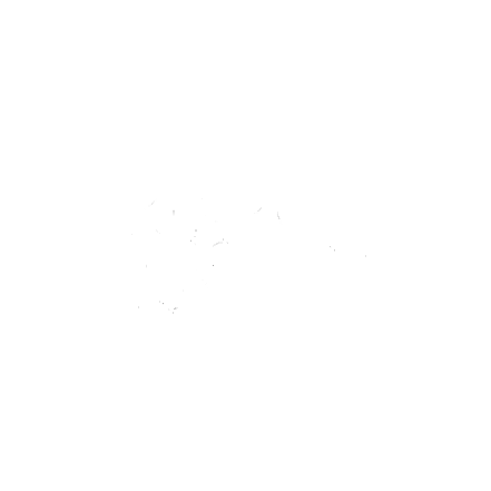 COc1c(Cl)cccc1-c1nc(NS(=O)(=O)c2cnn(C)c2)nc(Oc2ccc(C3CCN(C)CC3)cc2)c1C(F)(F)F